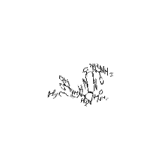 CCC[C@@H](CNC(=O)c1nc(Cl)c(N(N)C(N)=O)nc1N(N)C(N)=O)NC(=O)O